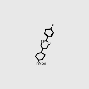 CCCCCCCCCC1CCC(C2COC(c3ccc(F)cc3)OC2)CC1